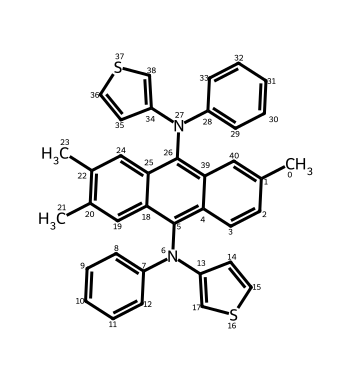 Cc1ccc2c(N(c3ccccc3)c3ccsc3)c3cc(C)c(C)cc3c(N(c3ccccc3)c3ccsc3)c2c1